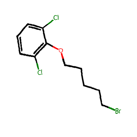 Clc1cccc(Cl)c1OCCCCCBr